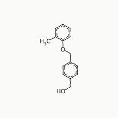 Cc1ccccc1OCc1ccc(CO)cc1